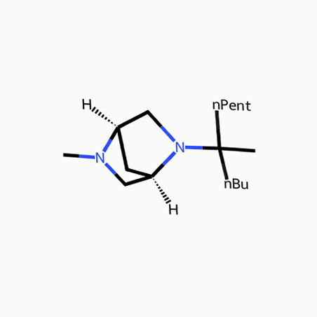 CCCCCC(C)(CCCC)N1C[C@H]2C[C@@H]1CN2C